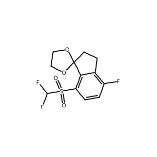 O=S(=O)(c1ccc(F)c2c1C1(CC2)OCCO1)C(F)F